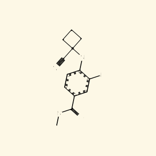 CNC(=O)c1ccc(NC2(C#N)CCC2)c(F)c1